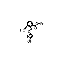 C#Cc1cccc(C(=O)OC(C)C)c1COc1ccn(O)n1